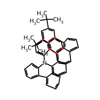 CC(C)(C)c1cc(-c2cccc3cccc(-c4ccccc4N(c4ccccc4-c4ccccc4)c4ccccc4-c4ccccc4)c23)cc(C(C)(C)C)c1